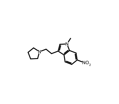 Cn1cc(CCN2CCCC2)c2ccc([N+](=O)[O-])cc21